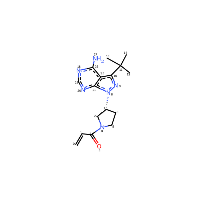 C=CC(=O)N1CC[C@@H](n2nc(C(C)(C)C)c3c(N)ncnc32)C1